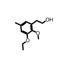 CCOc1cc(C)cc(CCO)c1OC